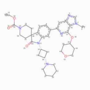 CC(C)n1cnc2cc(-c3ccc4c(c3)N([C@H]3C[C@@H](N5CCCCC5)C3)C(=O)C43CCN(C(=O)OC(C)(C)C)CC3)nc(OC3CCOCC3)c21